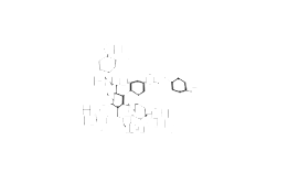 Cc1nc(C(=O)N[C@H]2CC[C@H](C)CC2)c(-c2ccc(OCCc3ccc(F)cc3)cc2)c(N2CCC(C)(C)CC2)c1[C@H](OC(C)(C)C)C(=O)O